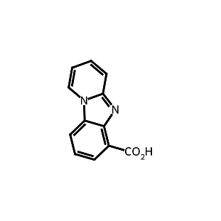 O=C(O)c1cccc2c1nc1ccccn12